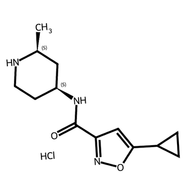 C[C@H]1C[C@@H](NC(=O)c2cc(C3CC3)on2)CCN1.Cl